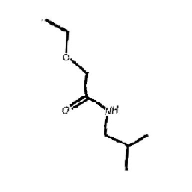 [CH2]COCC(=O)NCC(C)C